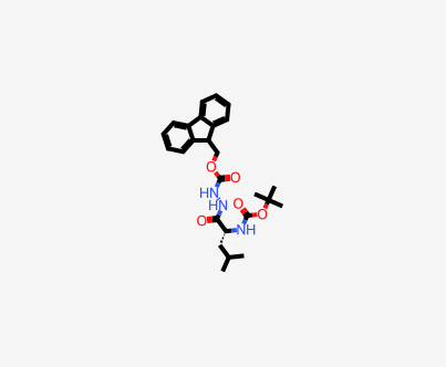 CC(C)C[C@@H](NC(=O)OC(C)(C)C)C(=O)NNC(=O)OCC1c2ccccc2-c2ccccc21